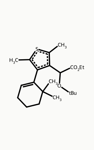 CCOC(=O)C(OC(C)(C)C)c1c(C)sc(C)c1C1=CCCCC1(C)C